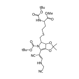 COC(=O)C(CCSCC1C2OC(C)(C)OC2=C(C(C#N)=CNCC#N)N1C(=O)OC(C)(C)C)NC(=O)OC(C)(C)C